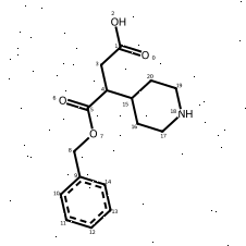 O=C(O)CC(C(=O)OCc1ccccc1)C1CCNCC1